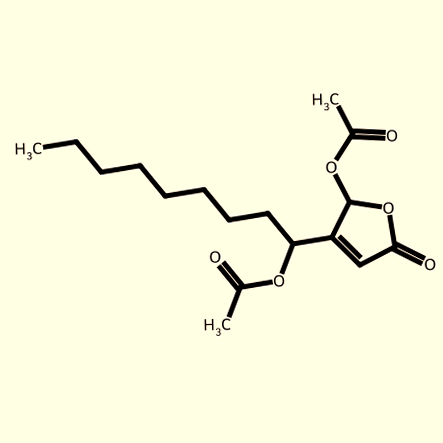 CCCCCCCCC(OC(C)=O)C1=CC(=O)OC1OC(C)=O